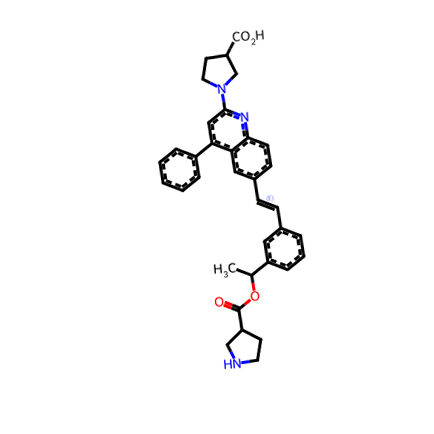 CC(OC(=O)C1CCNC1)c1cccc(/C=C/c2ccc3nc(N4CCC(C(=O)O)C4)cc(-c4ccccc4)c3c2)c1